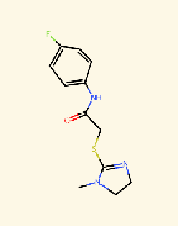 CN1CCN=C1SCC(=O)Nc1ccc(F)cc1